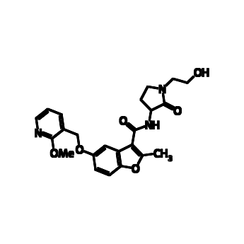 COc1ncccc1COc1ccc2oc(C)c(C(=O)NC3CCN(CCO)C3=O)c2c1